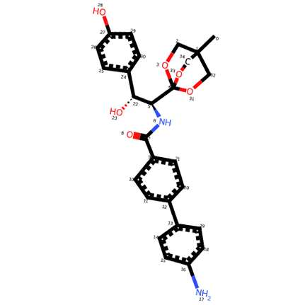 CC12COC([C@@H](NC(=O)c3ccc(-c4ccc(N)cc4)cc3)[C@H](O)c3ccc(O)cc3)(OC1)OC2